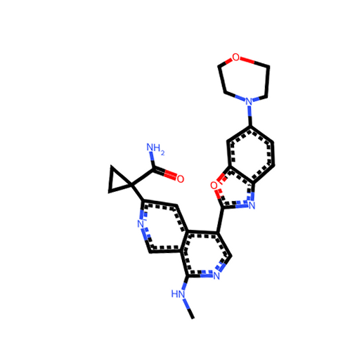 CNc1ncc(-c2nc3ccc(N4CCOCC4)cc3o2)c2cc(C3(C(N)=O)CC3)ncc12